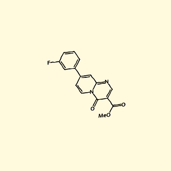 COC(=O)c1cnc2cc(-c3cccc(F)c3)ccn2c1=O